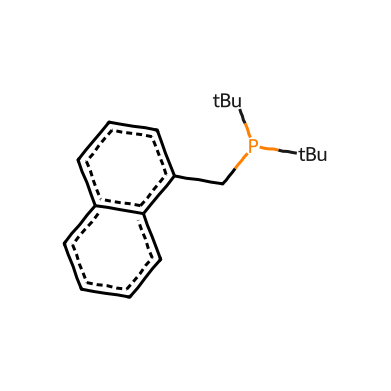 CC(C)(C)P(Cc1cccc2ccccc12)C(C)(C)C